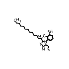 CCCCCCCCCCCCCC1=NNC(C=S)N1c1cccc(S)c1C